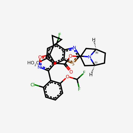 O=C(O)c1cc(F)c2nc(N3[C@@H]4CC[C@H]3CC(OC(=O)c3c(-c5c(Cl)cccc5OC(F)F)noc3C3CC3)C4)sc2c1